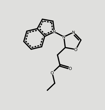 CCOC(=O)CC1OC=NN1n1ccc2ccccc21